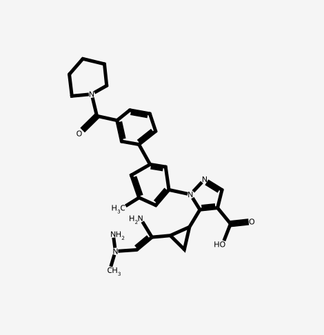 Cc1cc(-c2cccc(C(=O)N3CCCCC3)c2)cc(-n2ncc(C(=O)O)c2C2CC2/C(N)=C/N(C)N)c1